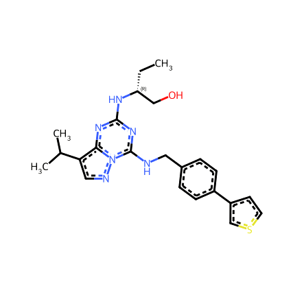 CC[C@H](CO)Nc1nc(NCc2ccc(-c3ccsc3)cc2)n2ncc(C(C)C)c2n1